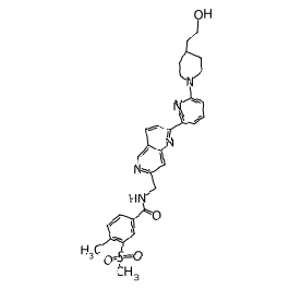 Cc1ccc(C(=O)NCc2cc3nc(-c4cccc(N5CCC(CCO)CC5)n4)ccc3cn2)cc1S(C)(=O)=O